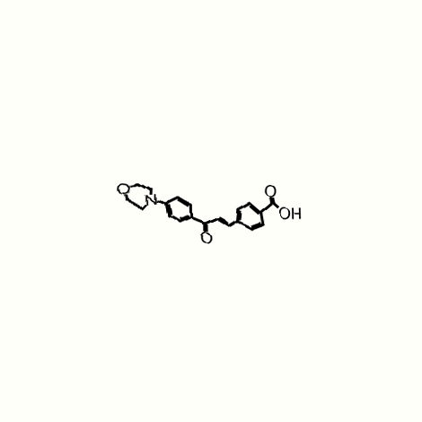 O=C(O)c1ccc(C=CC(=O)c2ccc(N3CCOCC3)cc2)cc1